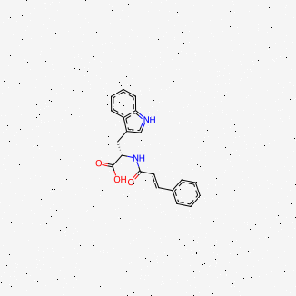 O=C(/C=C/c1ccccc1)N[C@@H](Cc1c[nH]c2ccccc12)C(=O)O